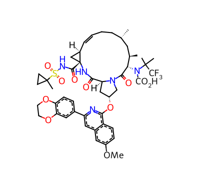 COc1ccc2c(O[C@@H]3C[C@H]4C(=O)N[C@]5(C(=O)NS(=O)(=O)C6(C)CC6)C[C@H]5/C=C\CC[C@H](C)C[C@@H](C)[C@H](N(C(=O)O)C(C)(C)C(F)(F)F)C(=O)N4C3)nc(-c3ccc4c(c3)OCCO4)cc2c1